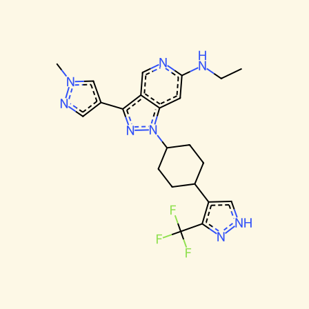 CCNc1cc2c(cn1)c(-c1cnn(C)c1)nn2C1CCC(c2c[nH]nc2C(F)(F)F)CC1